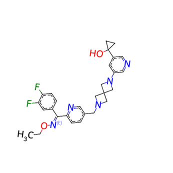 CCO/N=C(\c1ccc(F)c(F)c1)c1ccc(CN2CC3(C2)CN(c2cncc(C4(O)CC4)c2)C3)cn1